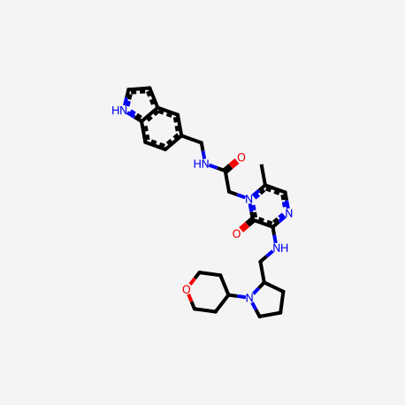 Cc1cnc(NCC2CCCN2C2CCOCC2)c(=O)n1CC(=O)NCc1ccc2[nH]ccc2c1